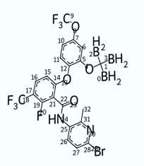 BC(B)(B)Oc1cc(OC(F)(F)F)ccc1Oc1ccc(C(F)(F)F)c(F)c1C(=O)Nc1ccc(Br)nc1C